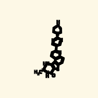 C[C@@H]1CNc2c(sc3ccc4nc(-c5cnc(N6CCNCC6)nc5)ccc4c23)C(=O)N1